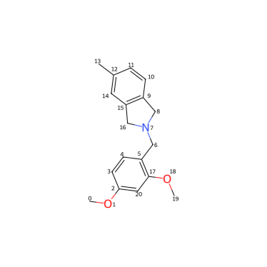 COc1ccc(CN2Cc3ccc(C)cc3C2)c(OC)c1